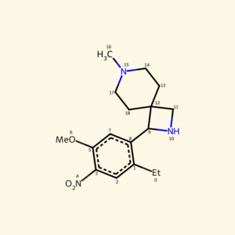 CCc1cc([N+](=O)[O-])c(OC)cc1C1NCC12CCN(C)CC2